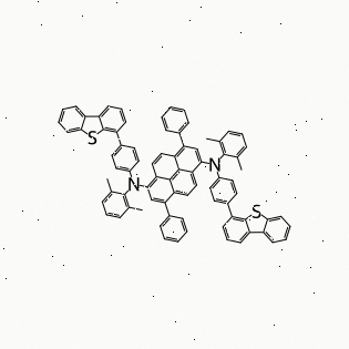 Cc1cccc(C)c1N(c1ccc(-c2cccc3c2sc2ccccc23)cc1)c1cc(-c2ccccc2)c2ccc3c(N(c4ccc(-c5cccc6c5sc5ccccc56)cc4)c4c(C)cccc4C)cc(-c4ccccc4)c4ccc1c2c43